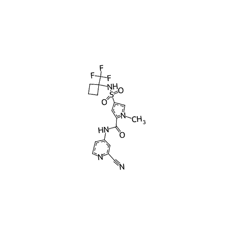 Cn1cc(S(=O)(=O)NC2(C(F)(F)F)CCC2)cc1C(=O)Nc1ccnc(C#N)c1